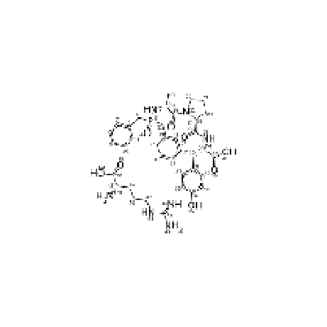 C[C@H](NP(=O)(Cc1ccccc1)Cc1ccccc1)C(=O)N1CCC[C@H]1C(=O)N[C@@H](Cc1ccc(O)cc1)C(=O)O.N=C(N)NCCC[C@H](N)C(=O)O